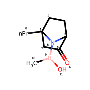 CCCC12CCC(C(=O)C1)N2B(C)O